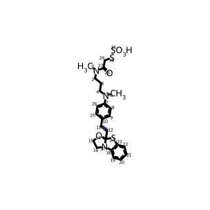 CN(CCCN(C)c1ccc(/C=C/C23OCCN2c2ccccc2S3)cc1)C(=O)CSS(=O)(=O)O